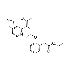 CCOC(=O)Cc1ccccc1O/C(=C/C(=C(\C)O)c1cc(CN)ccn1)CC